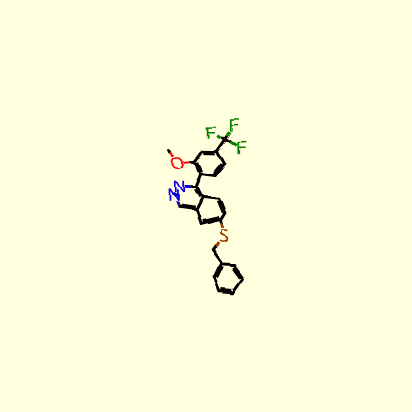 COc1cc(C(F)(F)F)ccc1-c1nncc2cc(SCc3ccccc3)ccc12